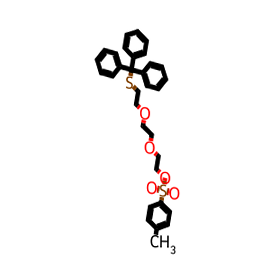 Cc1ccc(S(=O)(=O)OCCOCCOCCSC(c2ccccc2)(c2ccccc2)c2ccccc2)cc1